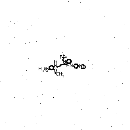 CCOc1cc(SC)ccc1NCC#Cc1cc2c(Nc3ccc(N4CC5CC(C4)O5)cc3)cccc2n1CC(F)(F)F